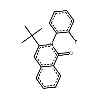 CC(C)(C)c1cc2ccccc2c(=O)n1-c1ccccc1F